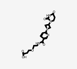 O=C(O)CCOCCNC(=O)c1ccc(N2CC(N3CCC(=O)NC3=O)C2)nc1